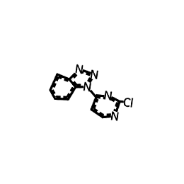 Clc1nccc(-n2nnc3ccccc32)n1